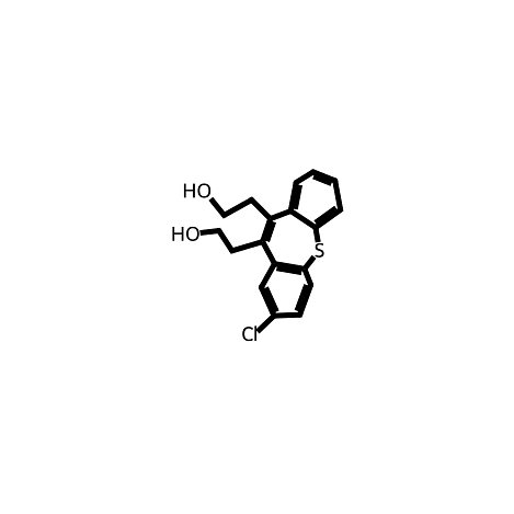 OCCC1=C(CCO)c2cc(Cl)ccc2Sc2ccccc21